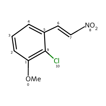 COc1cccc(C=C[N+](=O)[O-])c1Cl